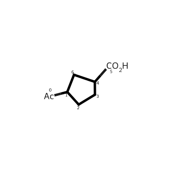 CC(=O)C1CCC(C(=O)O)C1